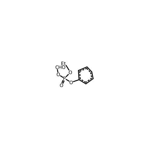 CCOP(=O)(OC=O)Oc1ccccc1